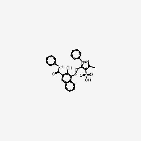 Cc1nn(-c2ccccc2)c(N=Nc2c(O)c(C(=O)Nc3ccccc3)cc3ccccc23)c1S(=O)(=O)O